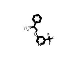 NC(COc1cncc(C(F)(F)F)c1)c1ccccc1